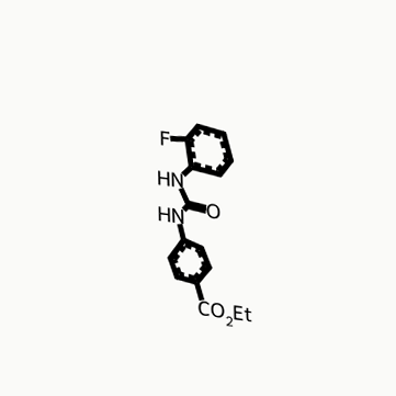 CCOC(=O)c1ccc(NC(=O)Nc2ccccc2F)cc1